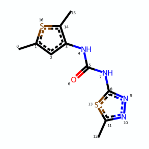 Cc1cc(NC(=O)Nc2nnc(C)s2)c(C)s1